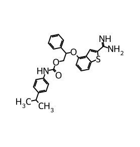 CC(C)c1ccc(NC(=O)OCC(Oc2cccc3sc(C(=N)N)cc23)c2ccccc2)cc1